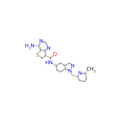 Cc1cccc(Cn2ncc3cc(NC(=O)c4csc5c(N)ncnc45)ccc32)n1